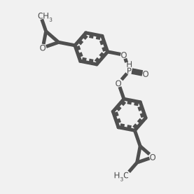 CC1OC1c1ccc(O[PH](=O)Oc2ccc(C3OC3C)cc2)cc1